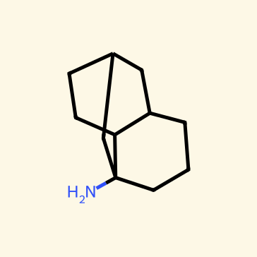 NC12CCCC3CC(CCC31)C2